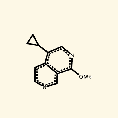 COc1ncc(C2CC2)c2ccncc12